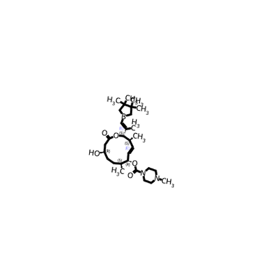 C/C(=C\B1CC(C)(C)C(C)(C)C1)[C@H]1OC(=O)C[C@H](O)CC[C@H](C)[C@@H](OC(=O)N2CCN(C)CC2)/C=C/[C@@H]1C